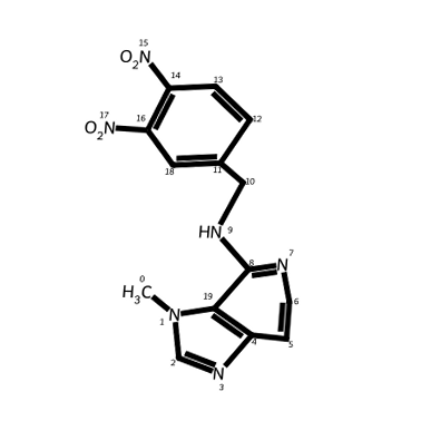 Cn1cnc2ccnc(NCc3ccc([N+](=O)[O-])c([N+](=O)[O-])c3)c21